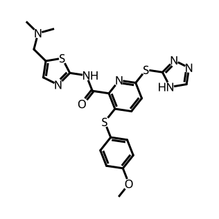 COc1ccc(Sc2ccc(Sc3nnc[nH]3)nc2C(=O)Nc2ncc(CN(C)C)s2)cc1